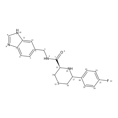 O=C(NCc1ccc2nc[nH]c2c1)[C@@H]1[CH]SCC(c2ccc(F)cc2)N1